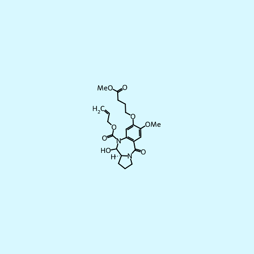 C=CCOC(=O)N1c2cc(OCCCC(=O)OC)c(OC)cc2C(=O)N2CCC[C@H]2C1O